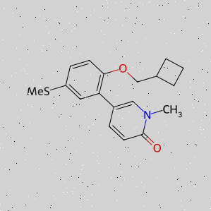 CSc1ccc(OCC2CCC2)c(-c2ccc(=O)n(C)c2)c1